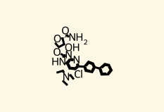 CCN(CC)CC.NC(=O)[C@H]1OC[C@@H](Oc2nc3nc(-c4ccc(-c5ccccc5)cc4)c(Cl)cc3[nH]2)[C@@H]1O